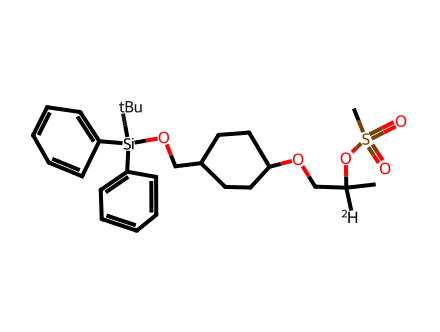 [2H]C(C)(COC1CCC(CO[Si](c2ccccc2)(c2ccccc2)C(C)(C)C)CC1)OS(C)(=O)=O